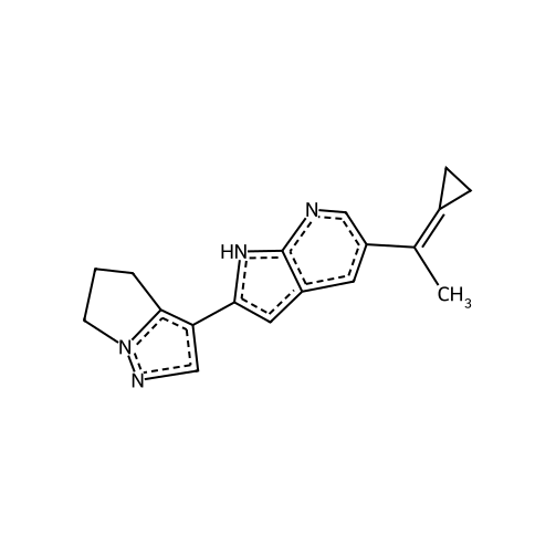 CC(=C1CC1)c1cnc2[nH]c(-c3cnn4c3CCC4)cc2c1